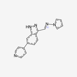 C(=N\n1cccc1)/c1n[nH]c2cc(-c3ccncc3)ccc12